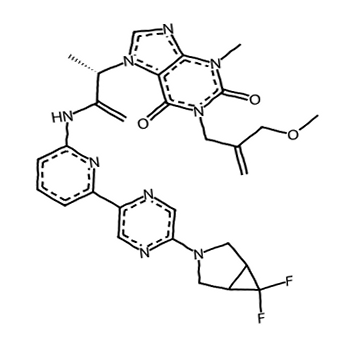 C=C(COC)Cn1c(=O)c2c(ncn2[C@@H](C)C(=C)Nc2cccc(-c3cnc(N4CC5C(C4)C5(F)F)cn3)n2)n(C)c1=O